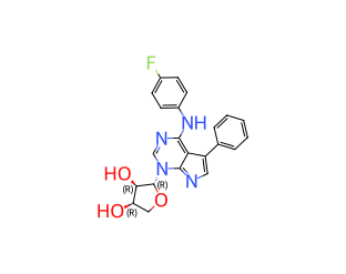 O[C@@H]1[C@H](O)CO[C@H]1n1cnc(Nc2ccc(F)cc2)c2c(-c3ccccc3)cnc1-2